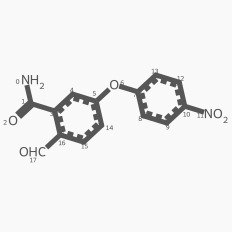 NC(=O)c1cc(Oc2ccc([N+](=O)[O-])cc2)ccc1C=O